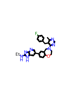 CCNc1nc2ncc(-c3ccc4c(c3)CN(c3ncnc(C)c3Cc3ccc(F)cc3)CCO4)cc2[nH]1